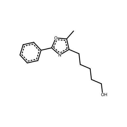 Cc1oc(-c2ccccc2)nc1CCCCCO